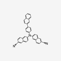 N#Cc1ccc2cc(N(c3ccc(-c4ccc5ccccc5c4)cc3)c3ccc4cc(C#N)ccc4c3)ccc2c1